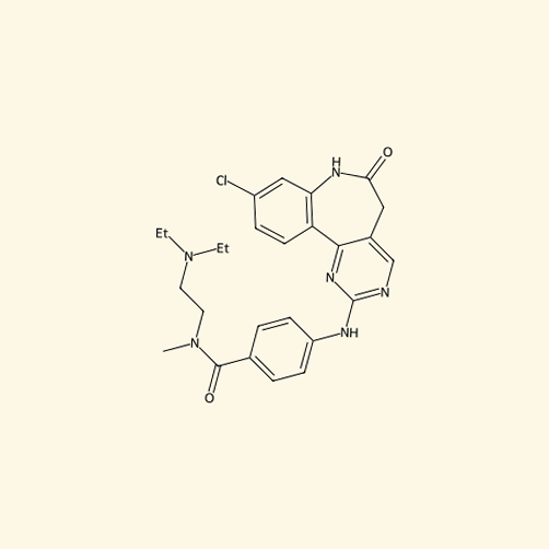 CCN(CC)CCN(C)C(=O)c1ccc(Nc2ncc3c(n2)-c2ccc(Cl)cc2NC(=O)C3)cc1